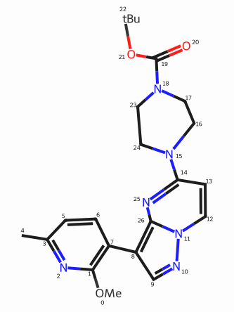 COc1nc(C)ccc1-c1cnn2ccc(N3CCN(C(=O)OC(C)(C)C)CC3)nc12